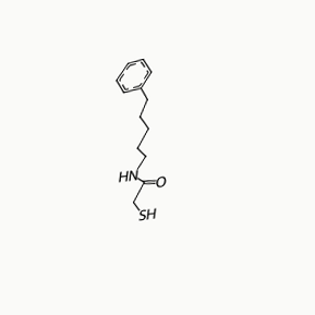 O=C(CS)NCCCCCc1ccccc1